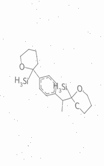 CC(c1ccc(C2([SiH3])CCCCO2)cc1)C1([SiH3])CCCCO1